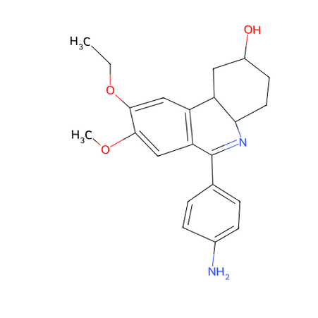 CCOc1cc2c(cc1OC)C(c1ccc(N)cc1)=NC1CCC(O)CC21